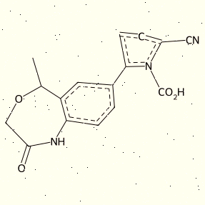 CC1OCC(=O)Nc2ccc(-c3ccc(C#N)n3C(=O)O)cc21